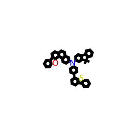 CC1(C)c2ccccc2-c2ccc(N(c3ccc(-c4cccc5c4sc4ccccc45)cc3)c3ccc4c(ccc5ccc6c7ccccc7oc6c54)c3)cc21